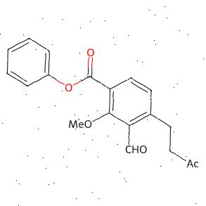 COc1c(C(=O)Oc2ccccc2)ccc(CCC(C)=O)c1C=O